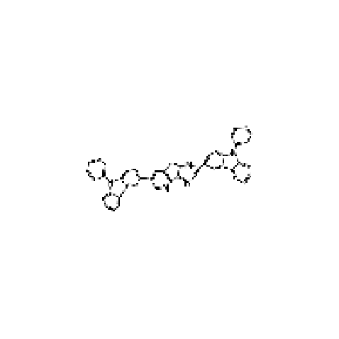 c1ccc(-n2c3ccccc3c3cc(-c4cnc5c(c4)Cc4nc(-c6ccc7c(c6)c6ccccc6n7-c6ccccc6)cnc4-5)ccc32)cc1